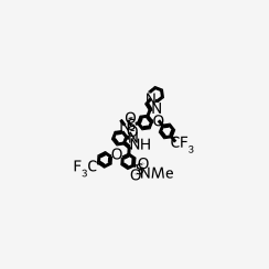 CNS(=O)(=O)c1ccc(Oc2ccc(C(F)(F)F)cc2)c(-c2[nH]nc3c(N(C)S(=O)(=O)c4ccc(Oc5ccc(C(F)(F)F)cc5)c(-c5cn6c(n5)CCCC6)c4)cccc23)c1